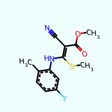 COC(=O)/C(C#N)=C(/Nc1cc(F)ccc1C)SC